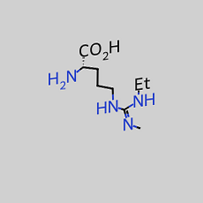 CCN/C(=N\C)NCCC[C@H](N)C(=O)O